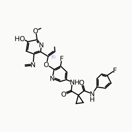 C=Nc1cc(O)c(OC)nc1/C(=C\C)Oc1ncc(NC(=O)C2(C(=O)Nc3ccc(F)cc3)CC2)cc1F